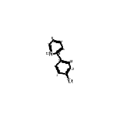 [CH2]Cc1ccc(-c2ccccn2)cc1